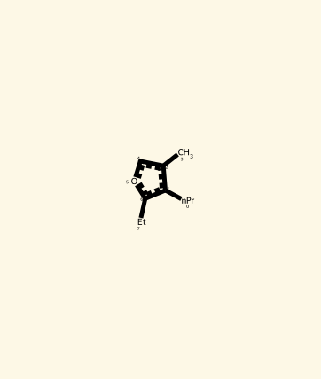 CCCc1c(C)coc1CC